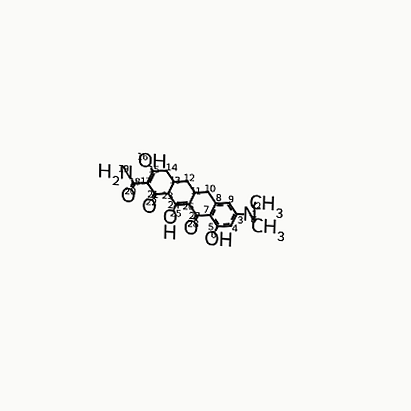 CN(C)c1cc(O)c2c(c1)CC1CC3CC(O)=C(C(N)=O)C(=O)C3C(O)=C1C2=O